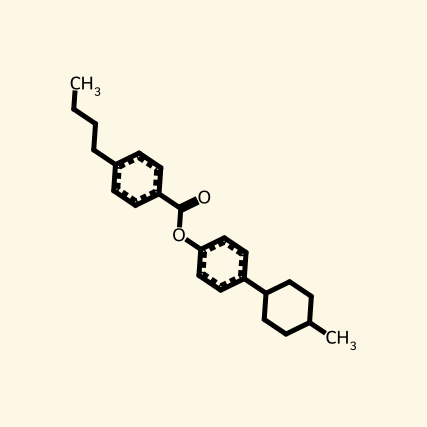 CCCCc1ccc(C(=O)Oc2ccc(C3CCC(C)CC3)cc2)cc1